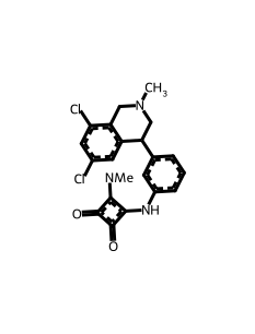 CNc1c(Nc2cccc(C3CN(C)Cc4c(Cl)cc(Cl)cc43)c2)c(=O)c1=O